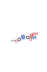 CCCCOc1ccc(-n2nnc(-c3ccc(S(=O)(=O)NC(C(=O)O)C(C)C)cc3)n2)cc1